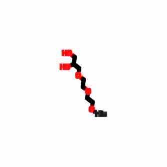 CCCCOCCOCCOCC(O)CO